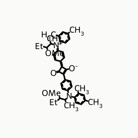 CCC(OC)C(C)N(c1ccc(C2=C([O-])C(=C3C=CC(=[N+](c4ccc(C)cc4C)C(C)C(CC)OC)C=C3)C2=O)cc1)c1ccc(C)cc1C